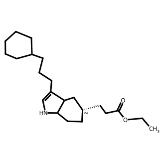 CCOC(=O)CC[C@@H]1CCC2NC=C(CCCC3CCCCC3)C2C1